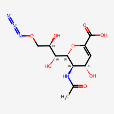 CC(=O)N[C@H]1[C@H]([C@H](O)[C@H](O)CON=[N+]=[N-])OC(C(=O)O)=C[C@@H]1O